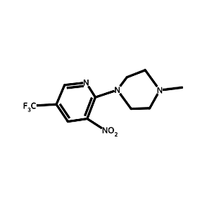 CN1CCN(c2ncc(C(F)(F)F)cc2[N+](=O)[O-])CC1